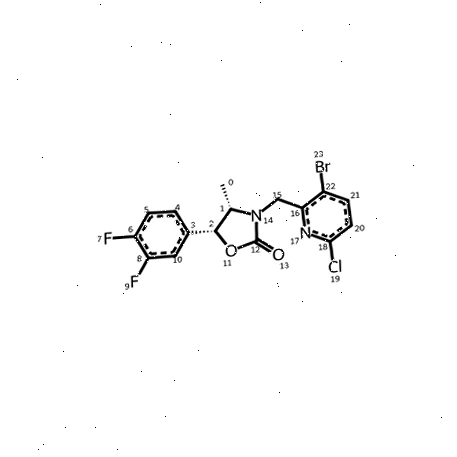 C[C@H]1[C@@H](c2ccc(F)c(F)c2)OC(=O)N1Cc1nc(Cl)ccc1Br